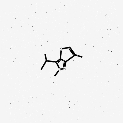 Cc1csc2c(C(C)C)n(C)nc12